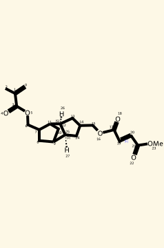 C=C(C)C(=O)OCC1CC2CC1[C@H]1CC(COC(=O)/C=C/C(=O)OC)C[C@@H]21